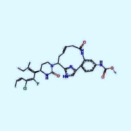 C\C=C/C(Cl)=C(F)\C(=C(\C)CC)[C@H]1CCN(C2C/C=C/CC(=O)Nc3cc(NC(=O)OC)ccc3-c3c[nH]c2n3)C(=O)N1